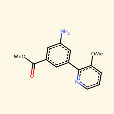 COC(=O)c1cc(N)cc(-c2ncccc2OC)c1